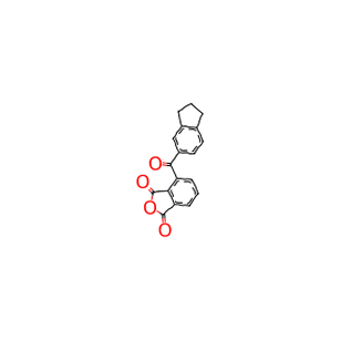 O=C1OC(=O)c2c1cccc2C(=O)c1ccc2c(c1)CCC2